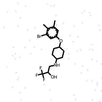 Cc1cc(OC2CCC(NCC(O)C(F)(F)F)CC2)cc(Br)c1C